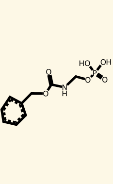 O=C(NCOP(=O)(O)O)OCc1ccccc1